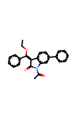 CCO/C(=C1/C(=O)N(C(C)=O)c2cc(-c3ccccc3)ccc21)c1ccccc1